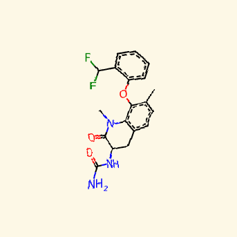 Cc1ccc2c(c1Oc1ccccc1C(F)F)N(C)C(=O)[C@H](NC(N)=O)C2